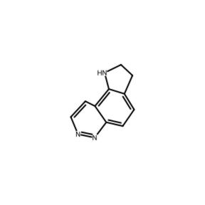 c1cc2c3c(ccc2nn1)CCN3